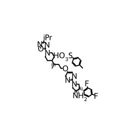 CC(C)c1noc(N2CCC([C@H](C)CCOc3cnc(N4C[C@H](c5ccc(F)cc5F)[C@@H](N)C4)nc3)CC2)n1.Cc1ccc(S(=O)(=O)O)cc1